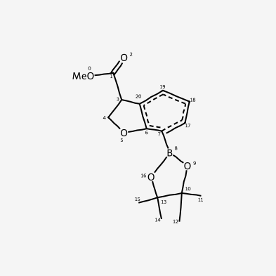 COC(=O)C1COc2c(B3OC(C)(C)C(C)(C)O3)cccc21